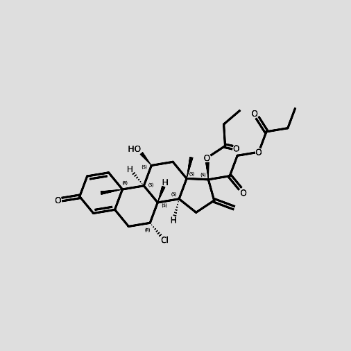 C=C1C[C@H]2[C@H]3[C@H]([C@@H](O)C[C@]2(C)[C@]1(OC(=O)CC)C(=O)COC(=O)CC)[C@@]1(C)C=CC(=O)C=C1C[C@H]3Cl